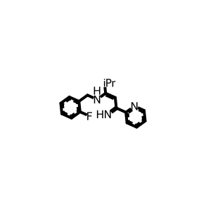 CC(C)/C(=C/C(=N)c1ccccn1)NCc1ccccc1F